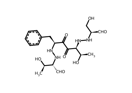 C[C@@H](O)[C@H](NN[C@H](C=O)CO)C(=O)C(=O)[C@H](Cc1ccccc1)NN[C@H](C=O)[C@@H](C)O